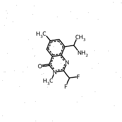 Cc1cc(C(C)N)c2nc(C(F)F)n(C)c(=O)c2c1